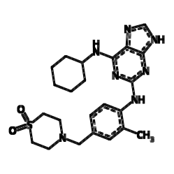 Cc1cc(CN2CCS(=O)(=O)CC2)ccc1Nc1nc(NC2CCCCC2)c2nc[nH]c2n1